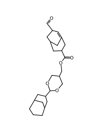 O=CC1C=C2CC(C1)CC(C(=O)OCC1COC(C3CC4CCCC(C4)C3)OC1)C2